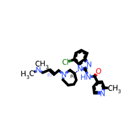 Cc1cc(C(=O)Nc2nc3cccc(Cl)c3n2[C@@H]2CCCCN(C/C=C/CN(C)C)C2)ccn1